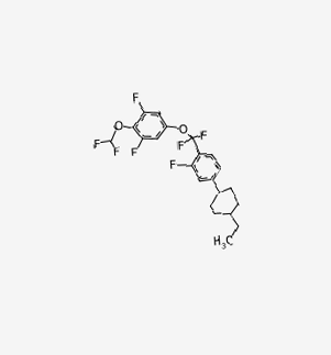 CCC1CCC(c2ccc(C(F)(F)Oc3cc(F)c(OC(F)F)c(F)c3)c(F)c2)CC1